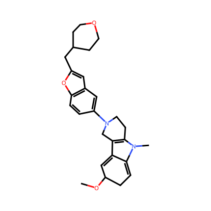 COC1C=c2c3c(n(C)c2=CC1)CCN(c1ccc2oc(CC4CCOCC4)cc2c1)C3